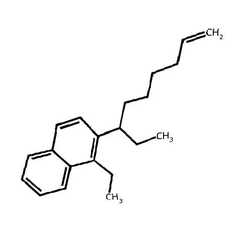 C=CCCCCC(CC)c1ccc2ccccc2c1CC